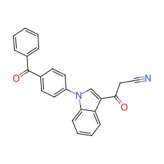 N#CCC(=O)c1cn(-c2ccc(C(=O)c3ccccc3)cc2)c2ccccc12